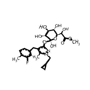 COC(=O)C(O)[C@H]1O[C@@](O)(Oc2nn(CC3CC3)c(C)c2Cc2ccc(C)c(F)c2)[C@H](O)[C@@H](O)[C@@H]1O